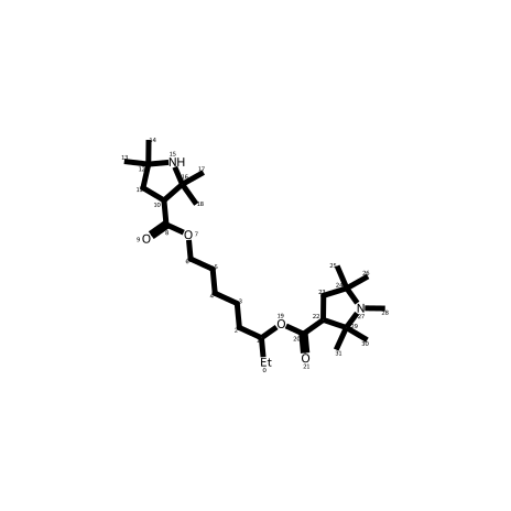 CCC(CCCCCOC(=O)C1CC(C)(C)NC1(C)C)OC(=O)C1CC(C)(C)N(C)C1(C)C